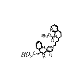 CCOC(=O)CC(NC1[C@H]2CN(CCCC3CCc4cccnc4N3C(=O)OC(C)(C)C)C[C@@H]12)c1ccccc1